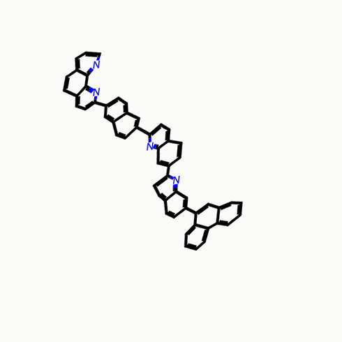 c1ccc2c(c1)cc(-c1ccc3ccc(-c4ccc5ccc(-c6ccc7cc(-c8ccc9ccc%10cccnc%10c9n8)ccc7c6)nc5c4)nc3c1)c1ccccc12